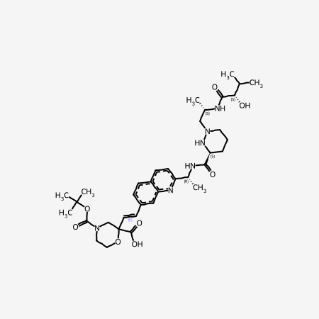 CC(C)[C@H](O)C(=O)N[C@@H](C)CN1CCC[C@@H](C(=O)N[C@H](C)c2ccc3ccc(/C=C/C4(C(=O)O)CN(C(=O)OC(C)(C)C)CCO4)cc3n2)N1